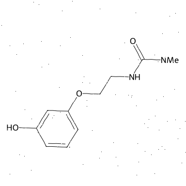 CNC(=O)NCCOc1c[c]cc(O)c1